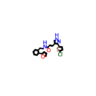 O=C(/C=C/c1c[nH]nc1-c1ccc(Cl)s1)NCCc1ccccc1-c1ccco1